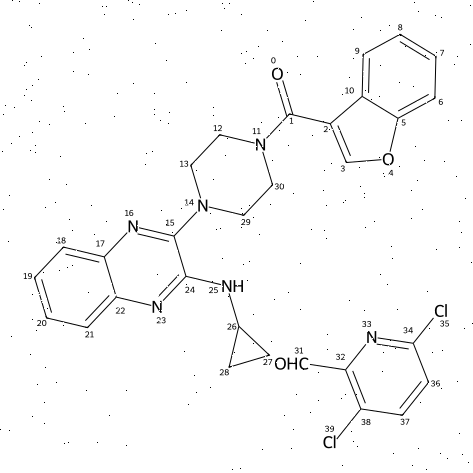 O=C(c1coc2ccccc12)N1CCN(c2nc3ccccc3nc2NC2CC2)CC1.O=Cc1nc(Cl)ccc1Cl